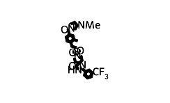 CNC1CCN(C(=O)c2ccc(CCS(=O)(=O)N3CCC4(CC3)N=C(c3cccc(C(F)(F)F)c3)NC4=O)c(C)c2)C1